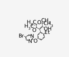 CCc1ccc(Oc2ncc(Br)cn2)cc1C1=C(O)C(C)(C)OC(C)(C)C1=O